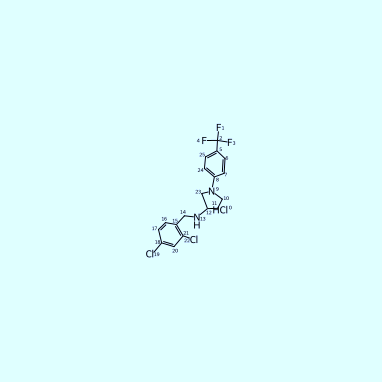 Cl.FC(F)(F)c1ccc(N2CCC(NCc3ccc(Cl)cc3Cl)C2)cc1